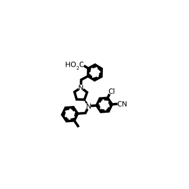 Cc1ccccc1CN(c1ccc(C#N)c(Cl)c1)[C@H]1CCN(Cc2ccccc2C(=O)O)C1